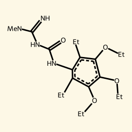 CCOc1c(CC)c(NC(=O)NC(=N)NC)c(CC)c(OCC)c1OCC